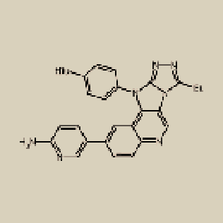 CCc1nnc2n(-c3ccc(C(C)(C)C)cc3)c3c4cc(-c5ccc(N)nc5)ccc4ncc3n12